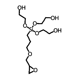 OCCO[Si](CCCOCC1CO1)(OCCO)OCCO